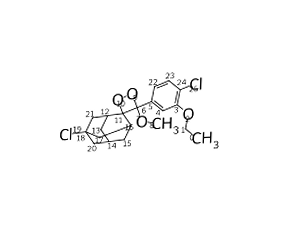 CCOc1cc(C2(OC)OOC23C2CC4CC3CC(Cl)(C4)C2)ccc1Cl